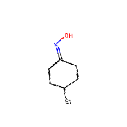 CCC1CCC(=NO)CC1